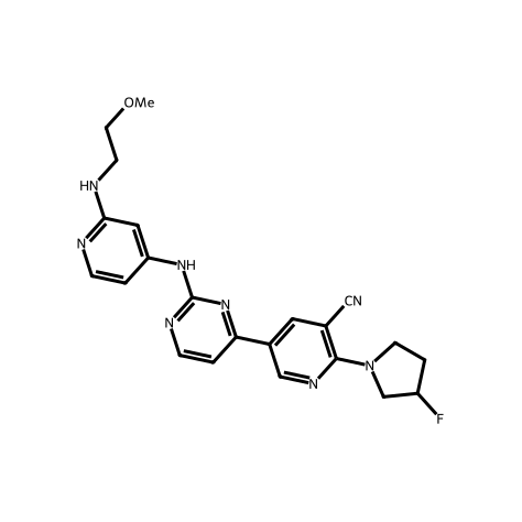 COCCNc1cc(Nc2nccc(-c3cnc(N4CCC(F)C4)c(C#N)c3)n2)ccn1